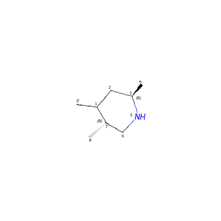 CC1C[C@@H](C)NC[C@@H]1C